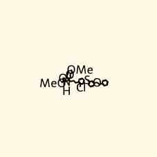 C#CCC(CCCc1ccc(Sc2cccc(OCc3ccccc3)c2)cc1Cl)(COCOC)NC(=O)OC